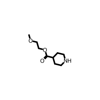 COCCOC(=O)C1CCNCC1